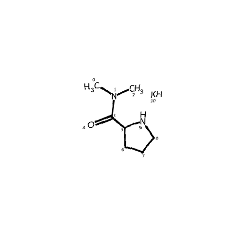 CN(C)C(=O)C1CCCN1.[KH]